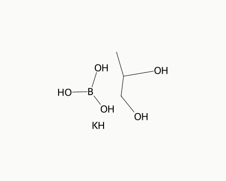 CC(O)CO.OB(O)O.[KH]